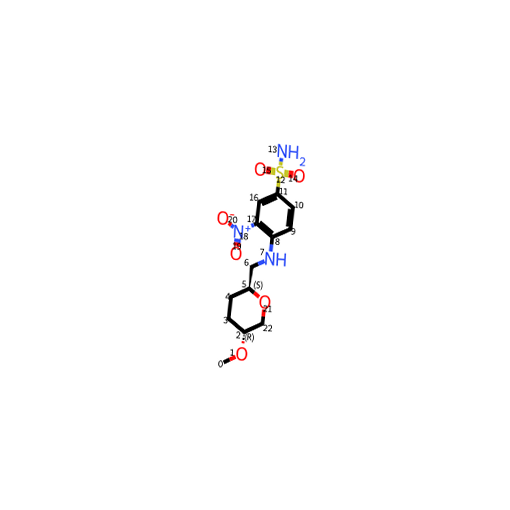 CO[C@@H]1CC[C@@H](CNc2ccc(S(N)(=O)=O)cc2[N+](=O)[O-])OC1